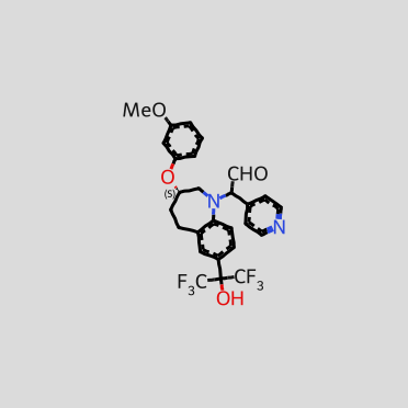 COc1cccc(O[C@H]2CCc3cc(C(O)(C(F)(F)F)C(F)(F)F)ccc3N(C(C=O)c3ccncc3)C2)c1